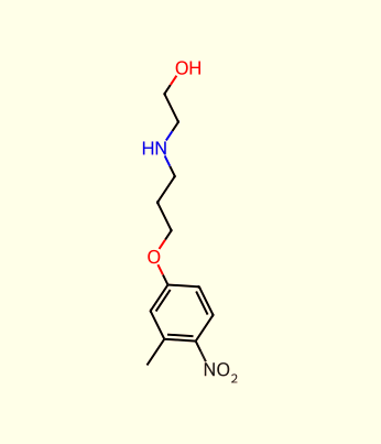 Cc1cc(OCCCNCCO)ccc1[N+](=O)[O-]